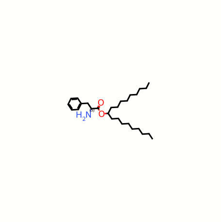 CCCCCCCCCC(CCCCCCCCC)OC(=O)[C@@H](N)Cc1ccccc1